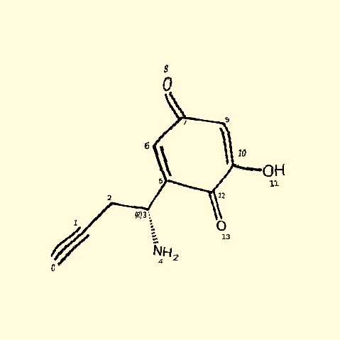 C#CC[C@@H](N)C1=CC(=O)C=C(O)C1=O